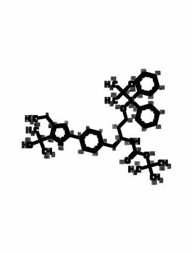 CCn1cc(-c2ccc(C[C@@H](CCO[Si](c3ccccc3)(c3ccccc3)C(C)(C)C)NC(=O)OC(C)(C)C)cc2)nc1C(C)(C)O